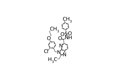 CCCOc1ccc(Cn2c(CC)nc3ccc(C(=O)NS(=O)(=O)c4ccc(C)cc4)nc32)c(Cl)c1